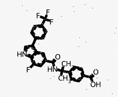 CC(C)(NC(=O)c1cc(F)c2[nH]cc(-c3ccc(C(F)(F)F)cc3)c2c1)c1ccc(C(=O)O)cc1